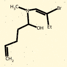 C=CCCC(O)N(C)/C=C(/Br)CC